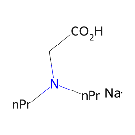 CCCN(CCC)CC(=O)O.[Na]